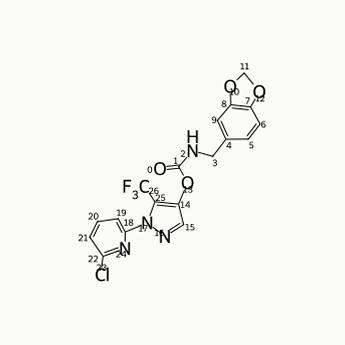 O=C(NCc1ccc2c(c1)OCO2)Oc1cnn(-c2cccc(Cl)n2)c1C(F)(F)F